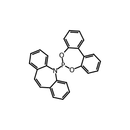 C1=Cc2ccccc2N(p2oc3ccccc3c3ccccc3o2)c2ccccc21